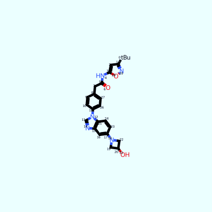 CC(C)(C)c1cc(NC(=O)Cc2ccc(-n3cnc4cc(N5CC(O)C5)ccc43)cc2)on1